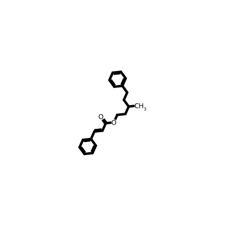 CC(CCOC(=O)C=Cc1ccccc1)CCc1ccccc1